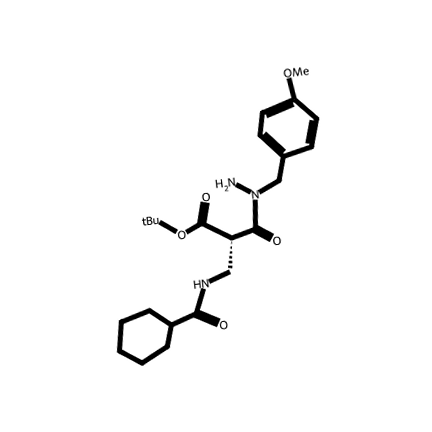 COc1ccc(CN(N)C(=O)[C@H](CNC(=O)C2CCCCC2)C(=O)OC(C)(C)C)cc1